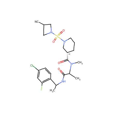 CC(NC(=O)C(C)N(C)C(=O)[C@H]1CCCN(S(=O)(=O)N2CC(C#N)C2)C1)c1ccc(Cl)cc1F